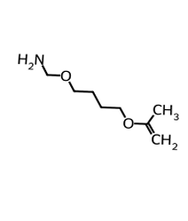 C=C(C)OCCCCOCN